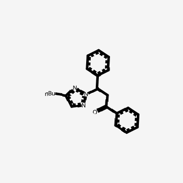 CCCCc1cnn(C(CC(=O)c2ccccc2)c2ccccc2)n1